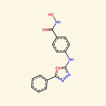 O=C(NO)c1ccc(Nc2nnc(-c3ccccc3)o2)cc1